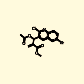 C=C(C(=O)OC)C(OC(C)=O)c1cc2cc(Br)ccc2nc1Cl